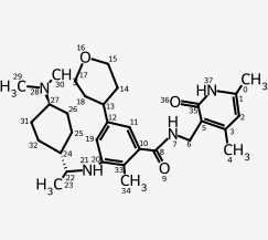 Cc1cc(C)c(CNC(=O)c2cc(C3CCOCC3)cc(NC(C)[C@H]3CC[C@H](N(C)C)CC3)c2C)c(=O)[nH]1